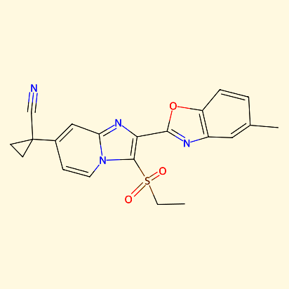 CCS(=O)(=O)c1c(-c2nc3cc(C)ccc3o2)nc2cc(C3(C#N)CC3)ccn12